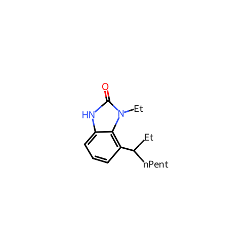 CCCCCC(CC)c1cccc2[nH]c(=O)n(CC)c12